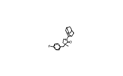 CC1(Cc2ccc(F)cc2)CCN(C2C3CC4CC(C3)CC2C4)C1=O